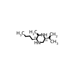 C=C1N[C@@H](C(=C)C)CN[C@H]1CCCC